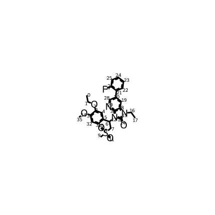 CCOc1cc(C(CS(C)(=O)=O)n2c(=O)n(CC)c3cc(-c4ccccc4F)cnc32)ccc1OC